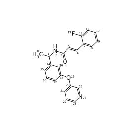 CC(NC(=O)C=Cc1ccccc1F)c1cccc(Oc2cccnc2)c1